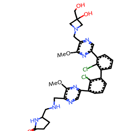 COc1nc(-c2cccc(-c3cccc(-c4cnc(CN5CC(O)(CO)C5)c(OC)n4)c3Cl)c2Cl)cnc1CNCC1CCC(=O)N1